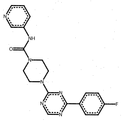 O=C(Nc1cccnc1)N1CCN(c2ncnc(-c3ccc(F)cc3)n2)CC1